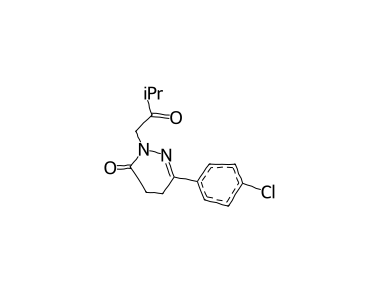 CC(C)C(=O)CN1N=C(c2ccc(Cl)cc2)CCC1=O